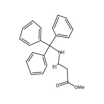 CC[C@@H](CC(=O)OC)NC(c1ccccc1)(c1ccccc1)c1ccccc1